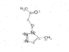 CC(=O)CSn1nncc1C